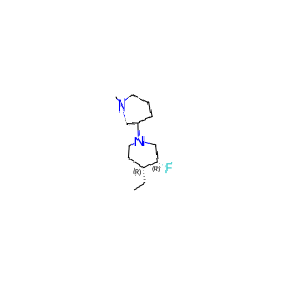 CC[C@@H]1CCN(C2CCCN(C)C2)C[C@@H]1F